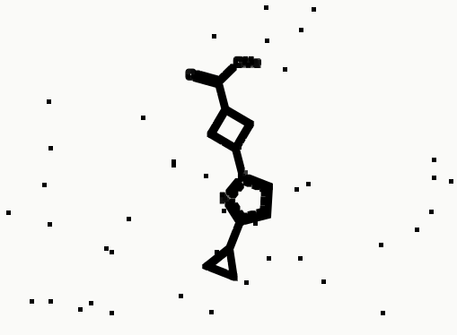 COC(=O)C1CC(n2ccc(C3CC3)n2)C1